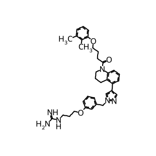 Cc1cccc(OCCCC(=O)N2CCCc3c(-c4cnn(Cc5cccc(OCCCNC(=N)N)c5)c4)cccc32)c1C